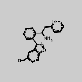 NC(Cc1ccccn1)c1ccccc1-c1noc2ccc(Br)cc12